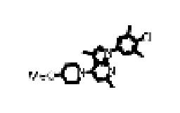 COC1CCN(c2cc(C)nc3c2c(C)cn3-c2cc(C)c(Cl)c(C)c2)CC1